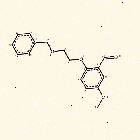 COc1ccc(OCCOCc2ccccc2)c(C=O)c1